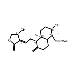 C=C1OC[C@@H](O)/C1=C\C[C@@H]1C(=C)CCC2[C@](C)(CNC)[C@H](O)CC[C@@]21C